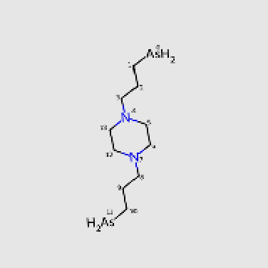 [AsH2]CCCN1CCN(CCC[AsH2])CC1